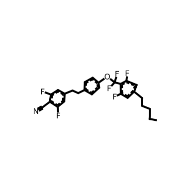 CCCCCc1cc(F)c(C(F)(F)Oc2ccc(CCc3cc(F)c(C#N)c(F)c3)cc2)c(F)c1